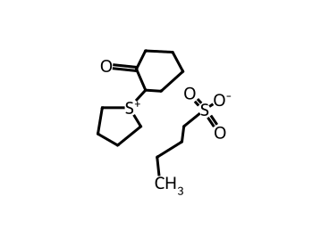 CCCCS(=O)(=O)[O-].O=C1CCCCC1[S+]1CCCC1